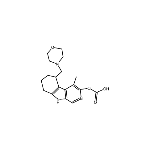 Cc1c(OC(=O)O)ncc2[nH]c3c(c12)C(CN1CCOCC1)CCC3